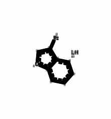 CCc1coc2ccccc12.[LiH]